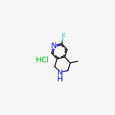 CC1CNCc2cnc(F)cc21.Cl